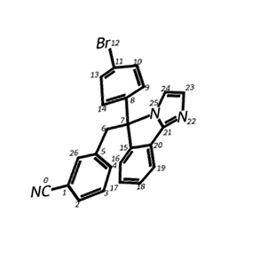 N#Cc1cccc(CC2(c3ccc(Br)cc3)c3ccccc3-c3nccn32)c1